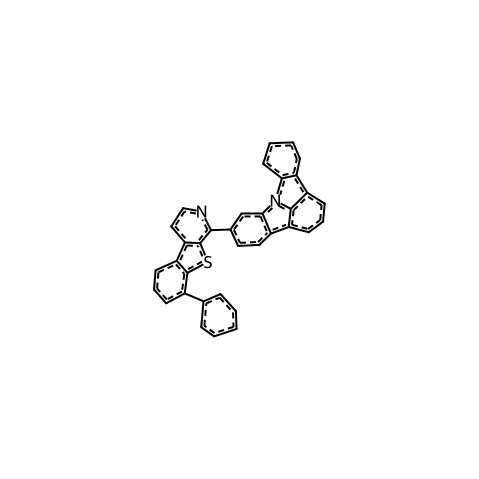 c1ccc(-c2cccc3c2sc2c(-c4ccc5c6cccc7c8ccccc8n(c5c4)c76)nccc23)cc1